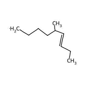 [CH2]CCCC(C)/C=C/CC